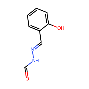 O=CN/N=C/c1ccccc1O